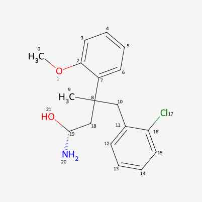 COc1ccccc1C(C)(Cc1ccccc1Cl)C[C@H](N)O